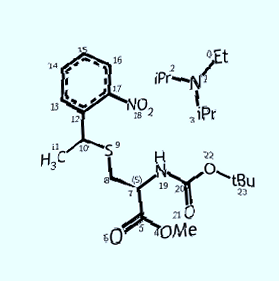 CCN(C(C)C)C(C)C.COC(=O)[C@@H](CSC(C)c1ccccc1[N+](=O)[O-])NC(=O)OC(C)(C)C